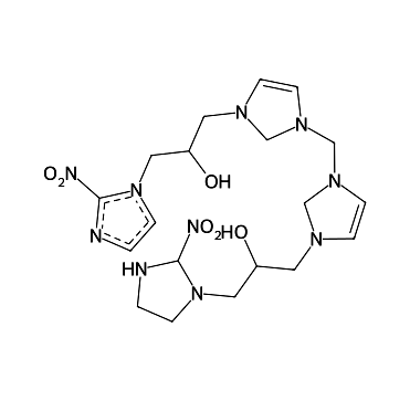 O=[N+]([O-])c1nccn1CC(O)CN1C=CN(CN2C=CN(CC(O)CN3CCNC3[N+](=O)[O-])C2)C1